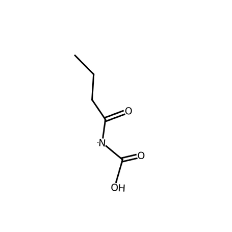 CCCC(=O)[N]C(=O)O